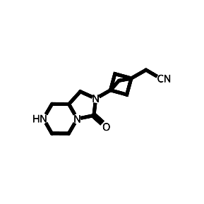 N#CCC12CC(N3CC4CNCCN4C3=O)(C1)C2